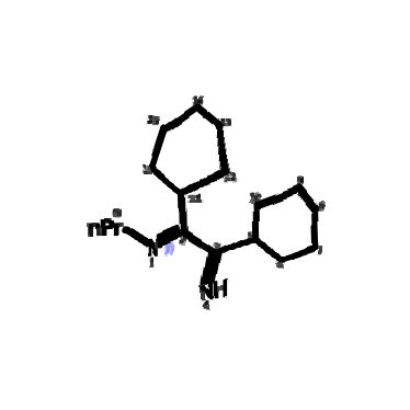 CCC/N=C(/C(=N)C1CCCCC1)C1CCCCC1